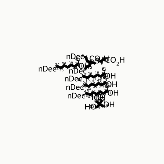 CCCCCCCCCCCCC(CCCCCCCCCCCC)(CSCCC(=O)O)C(=O)O.CCCCCCCCCCCCCCCCC(O)=S.CCCCCCCCCCCCCCCCC(O)=S.CCCCCCCCCCCCCCCCC(O)=S.CCCCCCCCCCCCCCCCC(O)=S.OCC(CO)(CO)CO